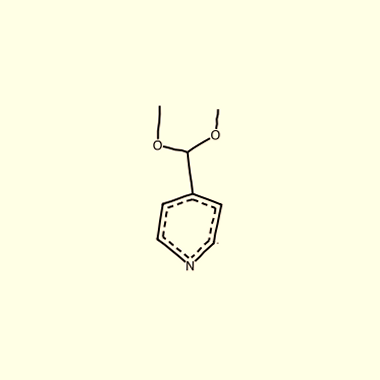 COC(OC)c1c[c]ncc1